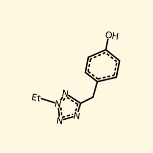 CCn1nnc(Cc2ccc(O)cc2)n1